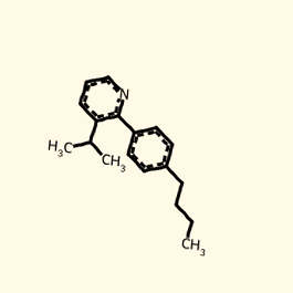 CCCCc1ccc(-c2ncccc2C(C)C)cc1